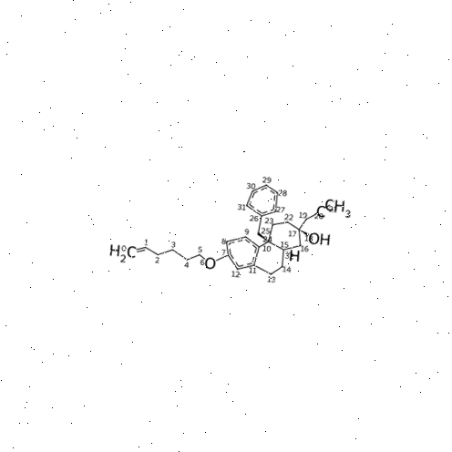 C=CCCCCOc1ccc2c(c1)CC[C@@H]1C[C@@](O)(CCC)CC[C@@]21Cc1ccccc1